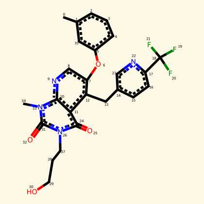 Cc1cccc(Oc2cnc3c(c2Cc2ccc(C(F)(F)F)nc2)c(=O)n(CCCO)c(=O)n3C)c1